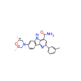 Cc1cccc(-c2cc(C(N)=O)c3[nH]c4cc(N5C[C@@H](C)O[C@@H](C)C5)ccc4c3n2)c1